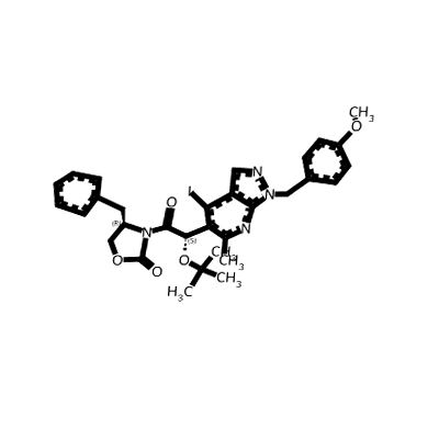 COc1ccc(Cn2ncc3c(I)c([C@H](OC(C)(C)C)C(=O)N4C(=O)OC[C@H]4Cc4ccccc4)c(C)nc32)cc1